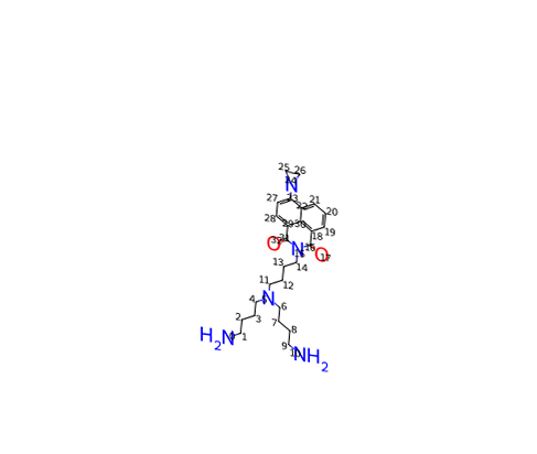 NCCCCN(CCCCN)CCCCN1C(=O)c2cccc3c(N4CC4)ccc(c23)C1=O